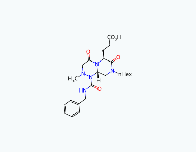 CCCCCCN1C[C@H]2N(C(=O)CN(C)N2C(=O)NCc2ccccc2)[C@@H](CCC(=O)O)C1=O